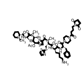 CC[C@H](C)[C@H](NC(=O)[C@H]1CCCCN1C)C(=O)N(C)[C@H](C[C@@H](OC(C)=O)c1nc(C(=O)N(C)[C@@H](CSc2nccs2)C(=O)N[C@H](CCCCN)C(=O)N[C@@H](Cc2ccccc2)C(=O)N2CCN(C(=O)CCCN3C(=O)C=CC3=O)CC2)cs1)C(C)C